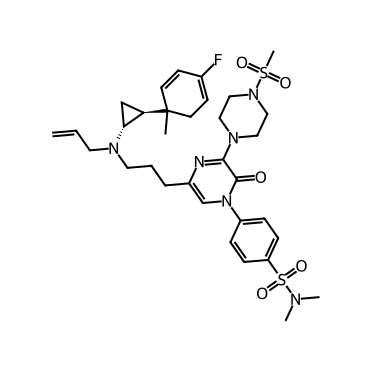 C=CCN(CCCc1cn(-c2ccc(S(=O)(=O)N(C)C)cc2)c(=O)c(N2CCN(S(C)(=O)=O)CC2)n1)[C@@H]1C[C@H]1C1(C)C=CC(F)=CC1